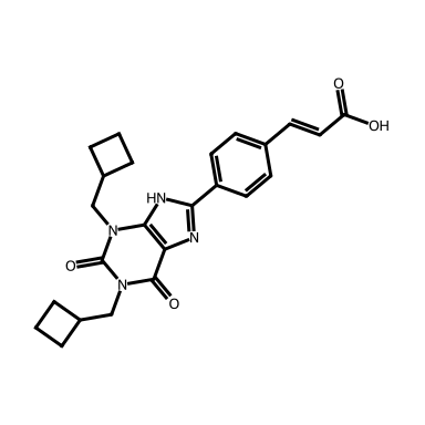 O=C(O)C=Cc1ccc(-c2nc3c(=O)n(CC4CCC4)c(=O)n(CC4CCC4)c3[nH]2)cc1